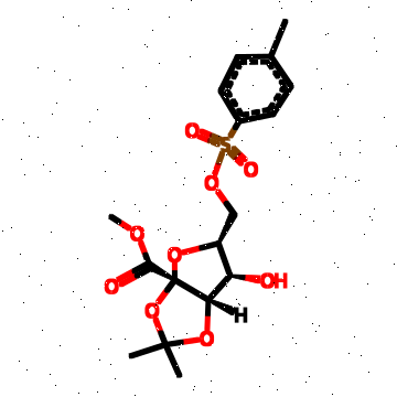 COC(=O)[C@@]12O[C@@H](COS(=O)(=O)c3ccc(C)cc3)[C@@H](O)[C@@H]1OC(C)(C)O2